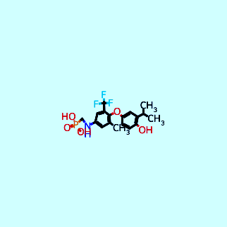 Cc1cc(NCP(=O)(O)O)cc(C(F)(F)F)c1Oc1ccc(O)c(C(C)C)c1